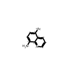 CC(=O)c1ccc(N)c2ncccc12